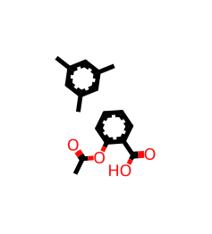 CC(=O)Oc1ccccc1C(=O)O.Cc1cc(C)cc(C)c1